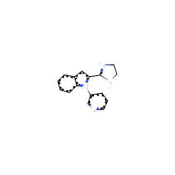 c1cncc(-n2c(C3=NCCN3)cc3ccccc32)c1